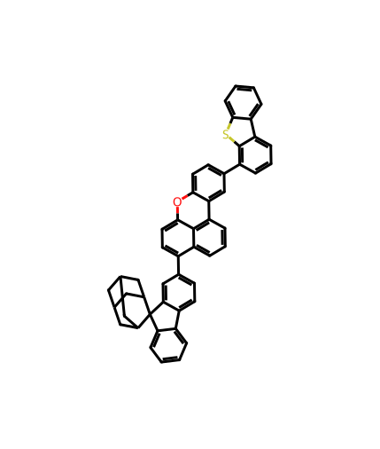 c1ccc2c(c1)-c1ccc(-c3ccc4c5c(cccc35)-c3cc(-c5cccc6c5sc5ccccc56)ccc3O4)cc1C21C2CC3CC(C2)CC1C3